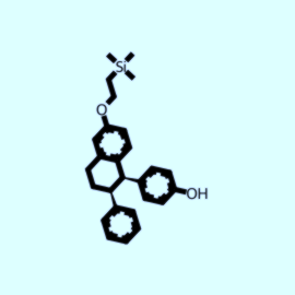 C[Si](C)(C)CCOc1ccc2c(c1)CC[C@H](c1ccccc1)[C@@H]2c1ccc(O)cc1